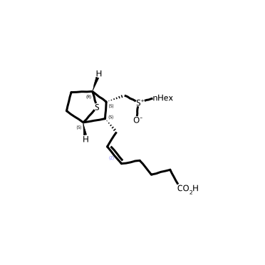 CCCCCC[S+]([O-])C[C@@H]1[C@H](C/C=C\CCCC(=O)O)[C@@H]2CC[C@H]1S2